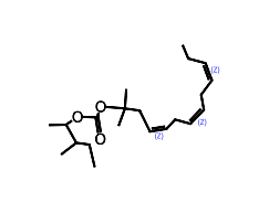 CC/C=C\C/C=C\C/C=C\CC(C)(C)OC(=O)OC(C)C(C)CC